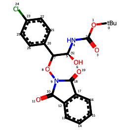 CC(C)(C)OC(=O)N[C@@H](O)C(ON1C(=O)c2ccccc2C1=O)c1ccc(Cl)cc1